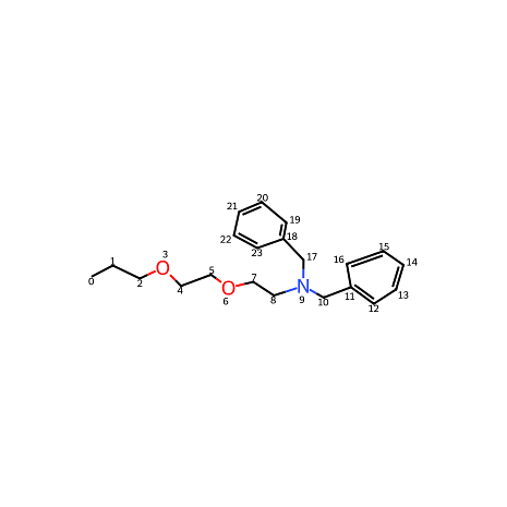 CCCOCCOCCN(Cc1ccccc1)Cc1ccccc1